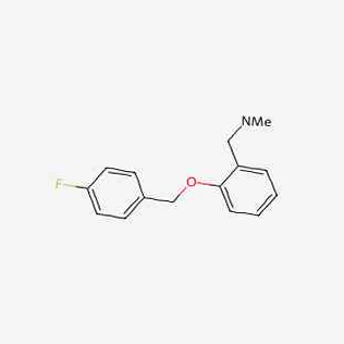 CNCc1ccccc1OCc1ccc(F)cc1